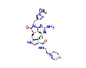 Cn1cc(CN2C(=O)/C(=C/c3cc(C(=O)NCCN4CCOCC4)c[nH]3)c3c(Cl)nc(N)nc32)cn1